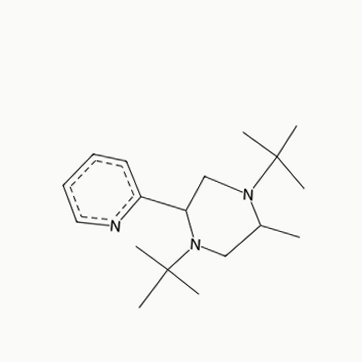 CC1CN(C(C)(C)C)C(c2ccccn2)CN1C(C)(C)C